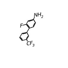 Nc1ccc(-c2cccc(C(F)(F)F)c2)c(F)c1